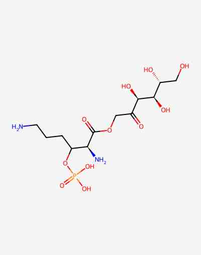 NCCCC(OP(=O)(O)O)[C@H](N)C(=O)OCC(=O)[C@@H](O)[C@H](O)[C@H](O)CO